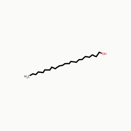 CCCCCCCCCCCCCCCCCCCCCCO